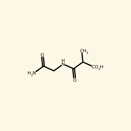 CC(C(=O)O)C(=O)NCC(N)=O